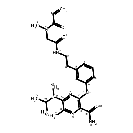 C=CC(=O)N(C)CC(=O)NCCc1cccc(Nc2nc(N(C)C(C)C)c(C)nc2C(N)=O)c1